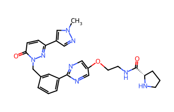 Cn1cc(-c2ccc(=O)n(Cc3cccc(-c4ncc(OCCNC(=O)[C@@H]5CCCN5)cn4)c3)n2)cn1